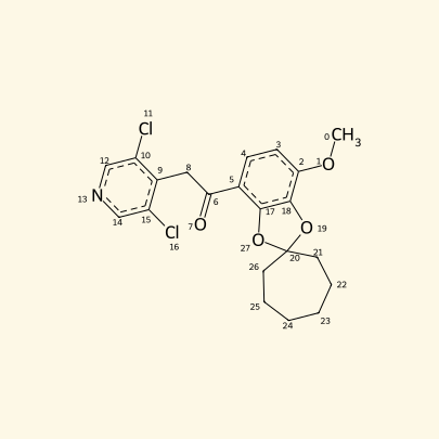 COc1ccc(C(=O)Cc2c(Cl)cncc2Cl)c2c1OC1(CCCCCC1)O2